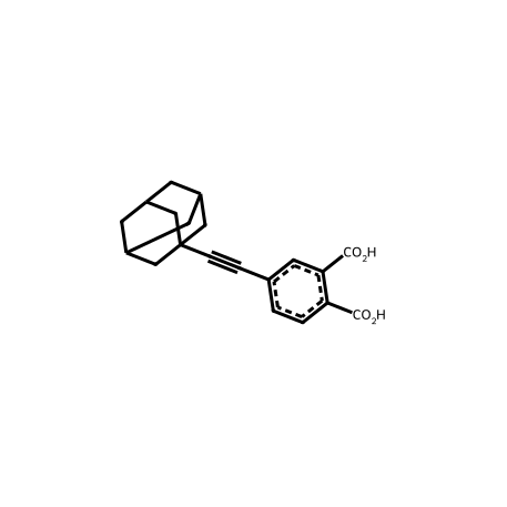 O=C(O)c1ccc(C#CC23CC4CC(CC(C4)C2)C3)cc1C(=O)O